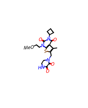 COCCn1c(=O)n(C2CCC2)c(=O)c2c(C)c(CN3CCNC(=O)C3=O)sc21